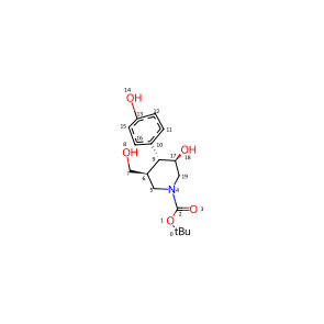 CC(C)(C)OC(=O)N1C[C@@H](CO)[C@H](c2ccc(O)cc2)[C@@H](O)C1